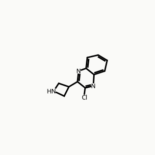 Clc1nc2ccccc2nc1C1CNC1